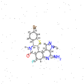 CN(C(=O)c1cc2c(cc1F)nc(N)c1c2cnn1C)[C@@H]1CSc2cc(Br)ccc21